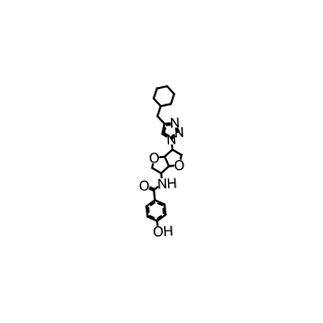 O=C(NC1COC2C1OCC2n1cc(CC2CCCCC2)nn1)c1ccc(O)cc1